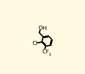 OCc1cccc(C(F)(F)F)c1Cl